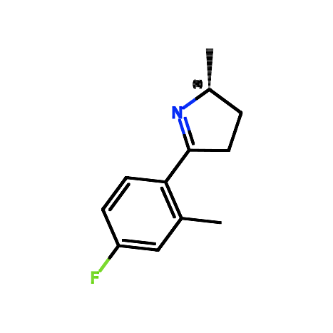 Cc1cc(F)ccc1C1=N[C@H](C)CC1